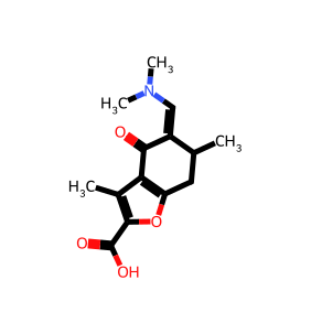 Cc1c(C(=O)O)oc2c1C(=O)/C(=C\N(C)C)C(C)C2